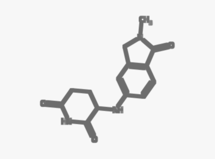 CN1Cc2cc(NC3CCC(=O)NC3=O)ccc2C1=O